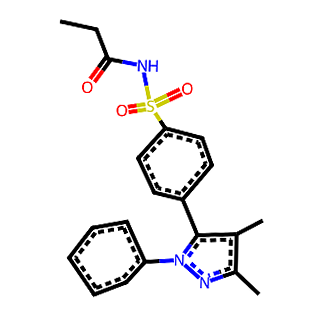 CCC(=O)NS(=O)(=O)c1ccc(-c2c(C)c(C)nn2-c2ccccc2)cc1